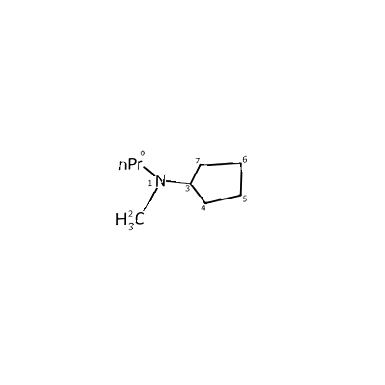 CCCN(C)C1CCCC1